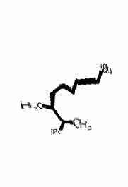 CCC(C)C=CC=CC(C)C(C)C(C)C